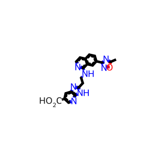 Cc1nc(-c2ccc3ccnc(NCCc4nc5cc(C(=O)O)cnc5[nH]4)c3c2)no1